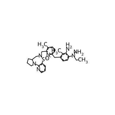 CCN(N)c1ccc(Cc2ccc(C)c(CN3CC4CCCN4c4ncccc4[S+]3[O-])n2)c(C)c1N